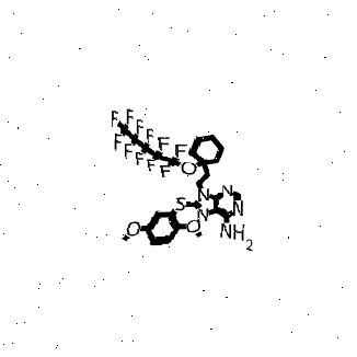 COc1ccc(OC)c(Sc2nc3c(N)ncnc3n2CCC2(OC(F)(F)C(F)(F)C(F)(F)C(F)(F)C(F)(F)F)CCCCC2)c1